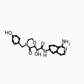 Nc1nccc2cc(NC(=O)[C@H](O)[C@H]3OCCN(Cc4ccc(O)cc4)C3=O)ccc12